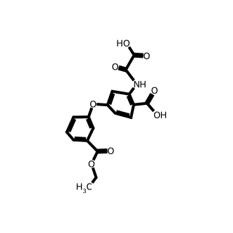 CCOC(=O)c1cccc(Oc2ccc(C(=O)O)c(NC(=O)C(=O)O)c2)c1